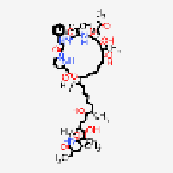 CCC1C[C@H](C)[C@@](O)(C(C)C(O)C(C)CCC(O)C(C)CC/C=C/C=C(\C)[C@@H]2C/C=C/C=C/[C@H](O)C(C)C(O)[C@@H](CCC(C)=O)C(=O)NC(C(C)C)C(=O)NC(Cc3ccccc3)C(=O)N3CCCC(N3)C(=O)O2)NC1=O